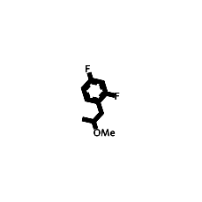 CO[C](C)Cc1ccc(F)cc1F